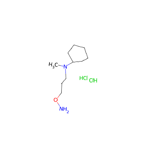 CN(CCCON)C1CCCCC1.Cl.Cl